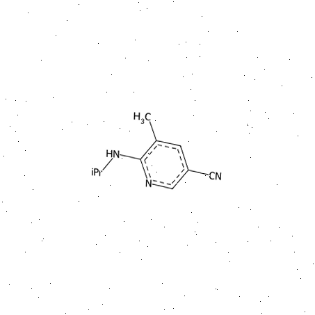 Cc1cc(C#N)cnc1NC(C)C